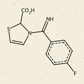 N=C(c1ccc(F)cc1)N1C=CSC1C(=O)O